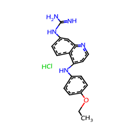 CCOc1ccc(Nc2ccnc3cc(NC(=N)N)ccc23)cc1.Cl